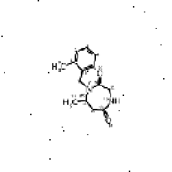 Cc1ccccc1CN1C(=O)CNC(=O)C[C@H]1C